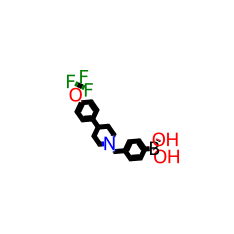 OB(O)c1ccc(CN2CCC(c3ccc(OC(F)(F)F)cc3)CC2)cc1